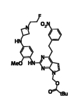 COc1cc(NC2CN(CCF)C2)ccc1Nc1nc(CCc2cccc([N+](=O)[O-])c2)c2ccn(COC(=O)C(C)(C)C)c2n1